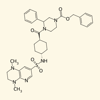 CN1CCN(C)c2ncc(S(=O)(=O)N[C@H]3CC[C@H](C(=O)N4CCN(C(=O)OCc5ccccc5)CC4c4ccccc4)CC3)cc21